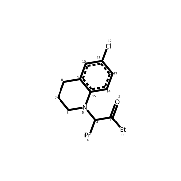 CCC(=O)C(C(C)C)N1CCCc2cc(Cl)ccc21